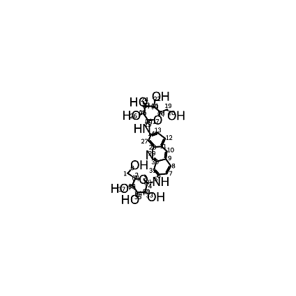 OC[C@H]1O[C@@H](Nc2ccc3cc4ccc(N[C@@H]5O[C@H](CO)[C@H](O)[C@H](O)[C@H]5O)cc4nc3c2)[C@H](O)[C@@H](O)[C@H]1O